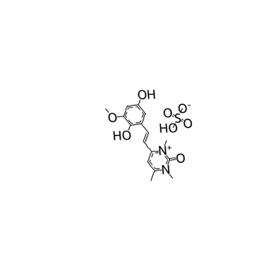 COc1cc(O)cc(C=Cc2cc(C)n(C)c(=O)[n+]2C)c1O.O=S(=O)([O-])O